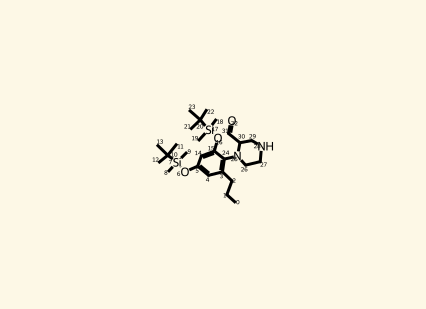 CCCc1cc(O[Si](C)(C)C(C)(C)C)cc(O[Si](C)(C)C(C)(C)C)c1N1CCNCC1C=O